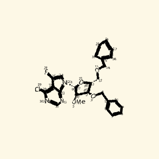 CO[C@@H]1[C@H](OCc2ccccc2)[C@@H](COCc2ccccc2)O[C@H]1n1cc(F)c2c(Cl)ncnc21